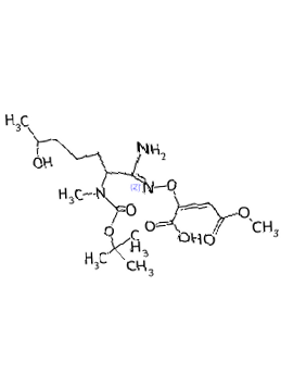 COC(=O)C=C(O/N=C(\N)C(CCCC(C)O)N(C)C(=O)OC(C)(C)C)C(=O)O